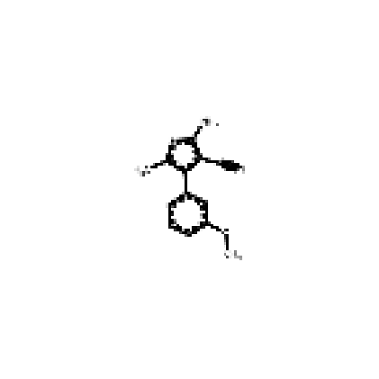 COc1cccc(-c2c(C)sc(N)c2C#N)c1